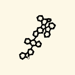 c1ccc2c(c1)-c1ccccc1C21c2cc3cc(-c4c5ccccc5c(-c5ccc6oc7ccccc7c6c5)c5ccccc45)ccc3cc2-c2c1c1ccccc1c1ccccc21